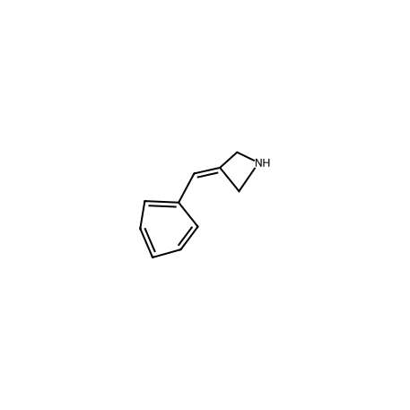 C(=C1CNC1)c1ccccc1